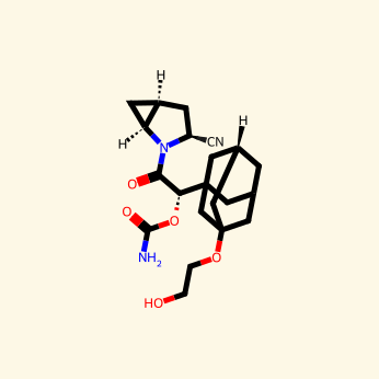 N#C[C@@H]1C[C@@H]2C[C@@H]2N1C(=O)[C@@H](OC(N)=O)C12CC3C[C@H](CC(OCCO)(C3)C1)C2